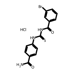 Cl.NC(=O)c1ccc(NC(=S)NC(=O)c2cccc(Br)c2)cc1